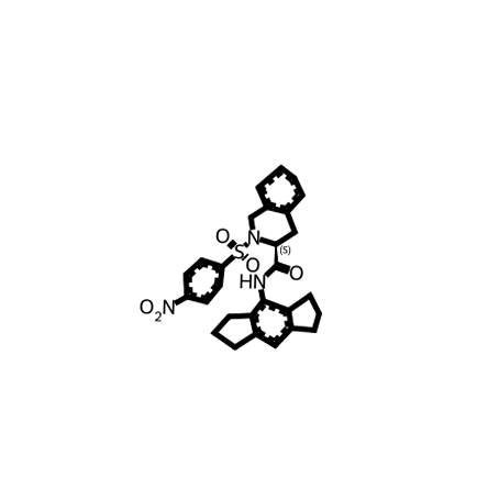 O=C(Nc1c2c(cc3c1CCC3)CCC2)[C@@H]1Cc2ccccc2CN1S(=O)(=O)c1ccc([N+](=O)[O-])cc1